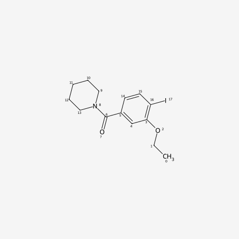 CCOc1cc(C(=O)N2CCCCC2)ccc1I